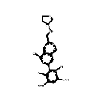 COc1cc(OC)c(Cl)c(-c2cc3cnc(CN[C@H]4CCOC4)nc3c(Cl)n2)c1Cl